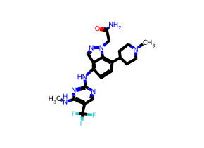 CNc1nc(Nc2ccc(C3CCN(C)CC3)c3c2cnn3CC(N)=O)ncc1C(F)(F)F